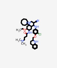 CCOC1CC2(C3CCCCCCC3)NCC(C#N)C(Nc3ccc(OCC4CCc5ccccc5N4)c(Cl)c3)C2CC1NC(=O)CCCN(C)C